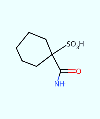 [NH]C(=O)C1(S(=O)(=O)O)CCCCC1